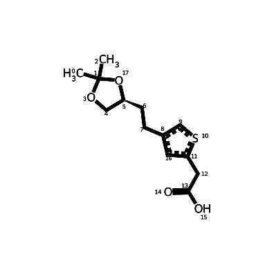 CC1(C)OC[C@H](CCc2csc(CC(=O)O)c2)O1